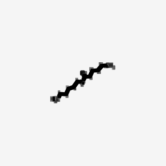 CCCCCC[N]C(=O)CCCCC